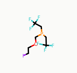 FC(F)(F)CP(COCCI)CC(F)(F)F